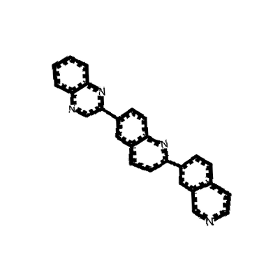 c1ccc2nc(-c3ccc4nc(-c5ccc6ccncc6c5)ccc4c3)cnc2c1